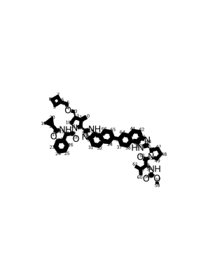 C=C1[C@H](COCC2CCC2)CN(C(=O)[C@H](NC(=O)C2CC2)c2ccccc2)[C@@H]1c1nc2ccc3cc(-c4ccc5c(ccc6nc([C@@H]7CCCN7C(=O)[C@@H](NC(=O)OC)C(C)C)[nH]c65)c4)ccc3c2[nH]1